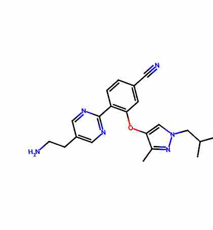 Cc1nn(CC(C)C)cc1Oc1cc(C#N)ccc1-c1ncc(CCN)cn1